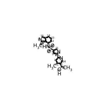 Cc1cc(-n2cc(S(=O)(=O)Nc3cccc4cnn(C)c34)cn2)ncc1C(C)O